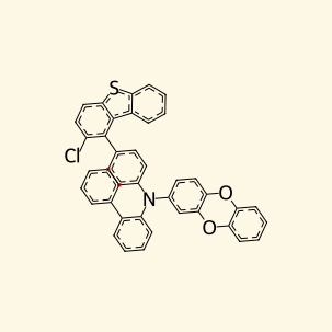 Clc1ccc2sc3ccccc3c2c1-c1ccc(N(c2ccc3c(c2)Oc2ccccc2O3)c2ccccc2-c2ccccc2)cc1